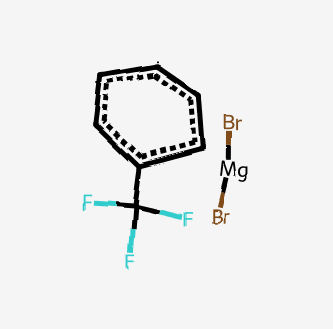 FC(F)(F)c1cc[c]cc1.[Br][Mg][Br]